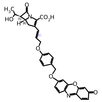 CC(O)[C@H]1C(=O)N2C(C(=O)O)=C(/C=C/COc3ccc(COc4ccc5nc6ccc(=O)cc-6oc5c4)cc3)C[C@H]12